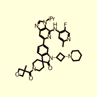 Cc1cc(Nc2nc(-c3ccc4c(c3)N([C@H]3C[C@@H](N5CCCCC5)C3)C(=O)C43CCN(C(=O)C4(C)COC4)CC3)cc3ncn(C(C)C)c23)c(F)cn1